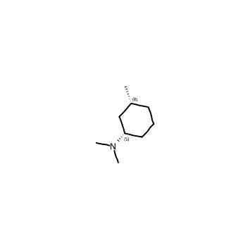 C[C@@H]1CCC[C@H](N(C)C)C1